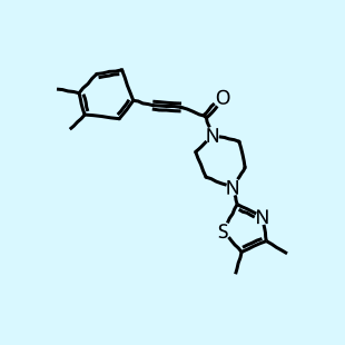 Cc1ccc(C#CC(=O)N2CCN(c3nc(C)c(C)s3)CC2)cc1C